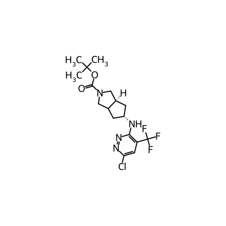 CC(C)(C)OC(=O)N1CC2C[C@@H](Nc3nnc(Cl)cc3C(F)(F)F)C[C@@H]2C1